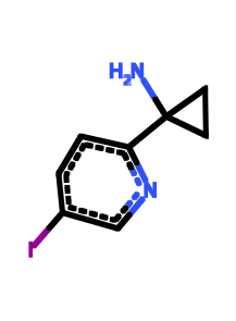 NC1(c2ccc(I)cn2)CC1